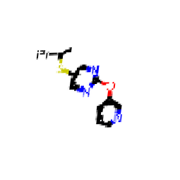 CC(C)[C@@H](C)Sc1cnc(Oc2cccnc2)nc1